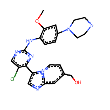 COc1cc(N2CC[N]CC2)ccc1Nc1ncc(Cl)c(-c2cnc3cc(CO)ccn23)n1